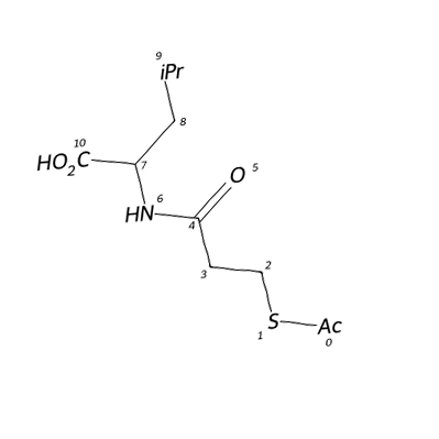 CC(=O)SCCC(=O)NC(CC(C)C)C(=O)O